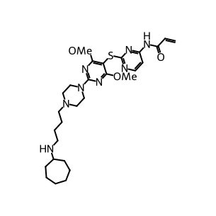 C=CC(=O)Nc1ccnc(Sc2c(OC)nc(N3CCN(CCCCNC4CCCCCC4)CC3)nc2OC)n1